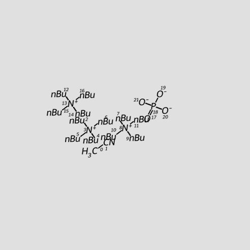 CC#N.CCCC[N+](CCCC)(CCCC)CCCC.CCCC[N+](CCCC)(CCCC)CCCC.CCCC[N+](CCCC)(CCCC)CCCC.O=P([O-])([O-])[O-]